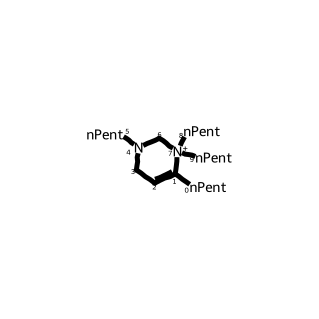 CCCCCC1=CCN(CCCCC)C[N+]1(CCCCC)CCCCC